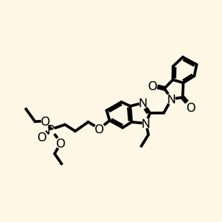 CCOP(=O)(CCCOc1ccc2nc(CN3C(=O)c4ccccc4C3=O)n(CC)c2c1)OCC